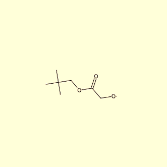 CC(C)(C)COC(=O)C[O]